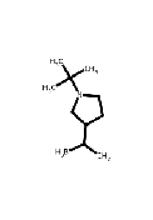 BC(C)C1CCN(C(C)(C)C)C1